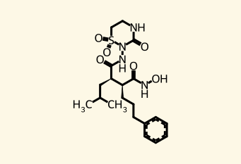 CC(C)C[C@@H](C(=O)NN1C(=O)NCCS1(=O)=O)[C@H](CCCc1ccccc1)C(=O)NO